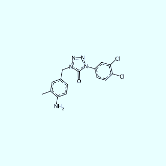 Cc1cc(Cn2nnn(-c3ccc(Cl)c(Cl)c3)c2=O)ccc1N